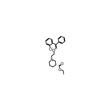 CCOC(=O)[C@@H]1CCCN(CCOC=C(c2ccccc2)c2ccccc2Cl)C1